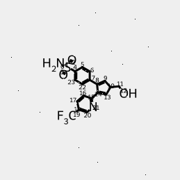 NS(=O)(=O)c1ccc(C2=CC(CO)C=C2c2ccc(C(F)(F)F)cn2)cc1